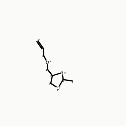 C=CCOCC1COC(C)S1